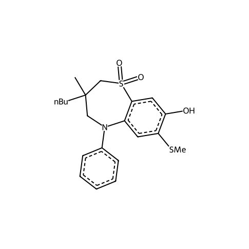 CCCCC1(C)CN(c2ccccc2)c2cc(SC)c(O)cc2S(=O)(=O)C1